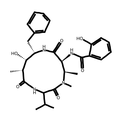 CC(C)C1NC(=O)[C@H](C)[C@H](O)[C@H](Cc2ccccc2)NC(=O)[C@@H](NC(=O)c2ccccc2O)[C@@H](C)N(C)C1=O